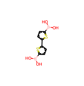 OB(O)c1ccc(-c2ccc(B(O)O)s2)s1